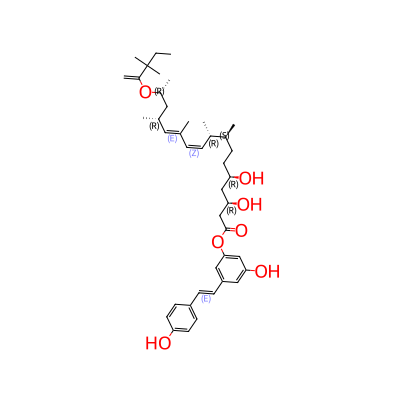 C=C(O[C@H](C)C[C@@H](C)/C=C(C)/C=C\[C@H](C)[C@@H](C)CC[C@@H](O)C[C@@H](O)CC(=O)Oc1cc(O)cc(/C=C/c2ccc(O)cc2)c1)C(C)(C)CC